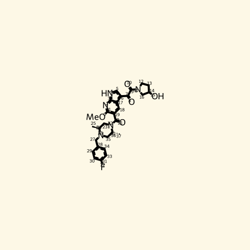 COc1nc2[nH]cc(C(=O)C(=O)N3CCC(O)C3)c2cc1C(=O)N1C[C@H](C)N(Cc2ccc(F)cc2)C[C@H]1C